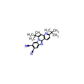 CC(C)(C)c1ccc2c(cc(C(C)(C)C)n3c4cc(C#N)c(C#N)cc4nc23)n1